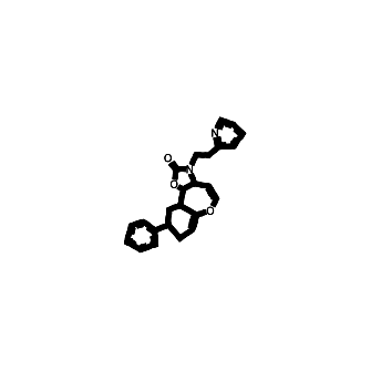 O=C1OC2C3CC(c4ccccc4)CC=C3OC=CC2N1CCc1ccccn1